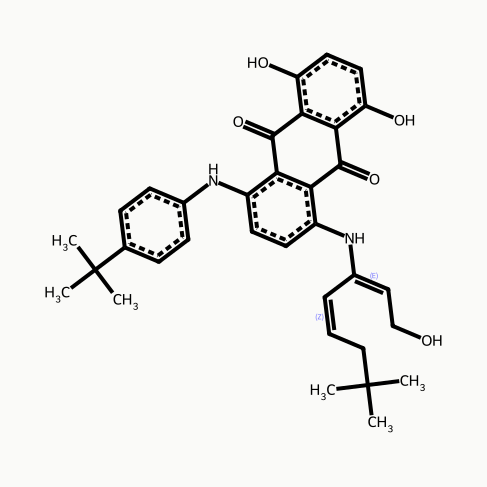 CC(C)(C)C/C=C\C(=C/CO)Nc1ccc(Nc2ccc(C(C)(C)C)cc2)c2c1C(=O)c1c(O)ccc(O)c1C2=O